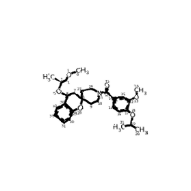 COC[C@H](C)OC1CC2(CCN(C(=O)c3ccc(OC(C)C)c(OC)c3)CC2)Oc2ccccc21